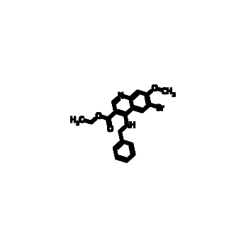 CCOC(=O)c1cnc2cc(OC)c(Br)cc2c1NCc1ccccc1